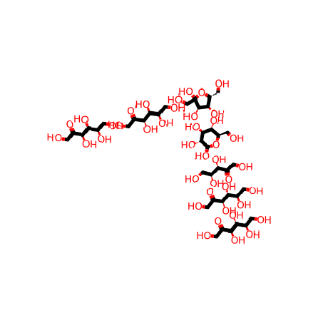 O=C(CO)[C@@H](O)[C@@H](O)[C@H](O)CO.O=C(CO)[C@@H](O)[C@H](O)CO.O=C(CO)[C@@H](O)[C@H](O)[C@H](O)CO.O=C(CO)[C@H](O)[C@@H](O)[C@H](O)CO.O=C(CO)[C@H](O)[C@H](O)[C@H](O)CO.OC[C@H]1OC(O)(CO)[C@@H](O)[C@@H]1O.OC[C@H]1OC(O)[C@H](O)[C@@H](O)[C@@H]1O